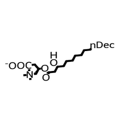 CCCCCCCCCCCCCCCCCC(O)CC(=O)OC(CC(=O)[O-])C[N+](C)(C)C